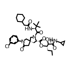 CCC[C@H](OC(=O)[C@@H]1C[C@@]2(CC(=O)N(c3cccc(Cl)c3)C2)CN1C(=O)[C@@H](NC(=O)CC1CCCCC1)C(C)(C)C)C(O)C(=O)NC1CC1